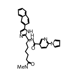 CNC(=O)CCCCC[C@H](NC(=O)c1ccc(-n2cccc2)nc1)c1ncc(-c2ccc3ccccc3c2)[nH]1